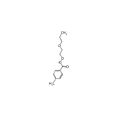 CCCOC[CH]OOC(=O)c1ccc(C)cc1